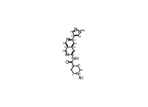 CC(=O)N1CCC(C(=O)Nc2cc3cc(-c4cnn(C)c4)ncc3cn2)CC1